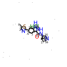 Cc1cnc(-c2ccc3c(C(=O)NC4CN5CCC4CC5)n[nH]c3c2)s1.Cl